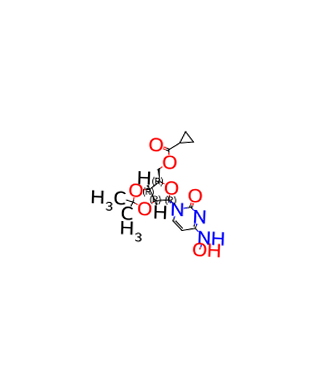 CC1(C)O[C@@H]2[C@H](O1)[C@@H](COC(=O)C1CC1)O[C@H]2n1ccc(NO)nc1=O